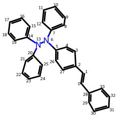 C(=Cc1ccc(N(c2ccccc2)N(c2ccccc2)c2ccccc2)cc1)c1ccccc1